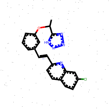 CC(Oc1cccc(/C=C/c2ccc3ccc(Cl)cc3n2)c1)c1nnn[nH]1